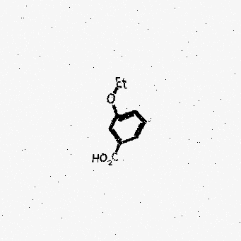 CCOc1c[c]cc(C(=O)O)c1